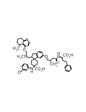 CC(COc1ccc2c(c1)C1(CCC(Nc3cccc(Cl)c3)(C(=O)O)CC1)C(C[C@@H](C)COc1ccnc3c1[C@H](C)CCC3)C2)CC(=O)N[C@@H](CCc1ccccc1)C(=O)O